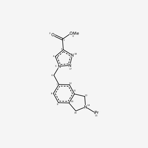 COC(=O)c1cn(Cc2ccc3c(c2)CN(C(C)C)C3)nn1